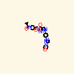 O=C(C1CC1)N1CCC(O)(Cn2cnc3c(cnn3-c3ccc(-n4ccc(N5CCOCC5)n4)cc3)c2=O)CC1